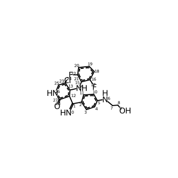 N=C(c1ccc(NCCO)cc1)c1c(Nc2c(F)cccc2F)c(Cl)c[nH]c1=O